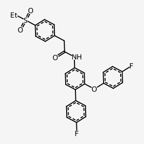 CCS(=O)(=O)c1ccc(CC(=O)Nc2ccc(-c3ccc(F)cc3)c(Oc3ccc(F)cc3)c2)cc1